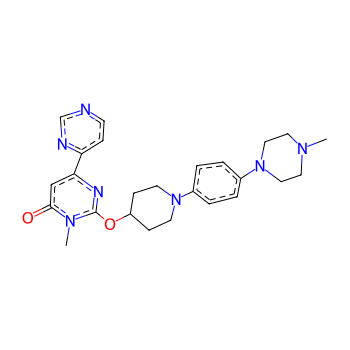 CN1CCN(c2ccc(N3CCC(Oc4nc(-c5ccncn5)cc(=O)n4C)CC3)cc2)CC1